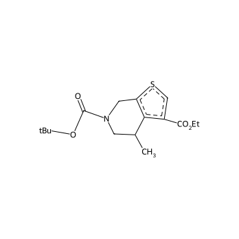 CCOC(=O)c1csc2c1C(C)CN(C(=O)OC(C)(C)C)C2